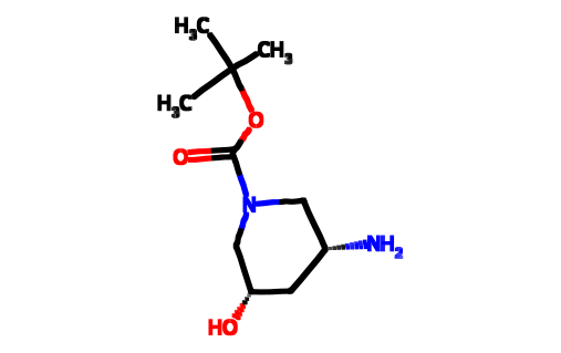 CC(C)(C)OC(=O)N1C[C@H](N)C[C@H](O)C1